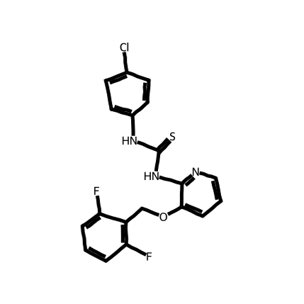 Fc1cccc(F)c1COc1cccnc1NC(=S)Nc1ccc(Cl)cc1